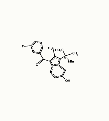 CCCC[C@@](C)(C(=O)O)c1c(C)n(C(=O)c2cccc(F)c2)c2ccc(O)cc12